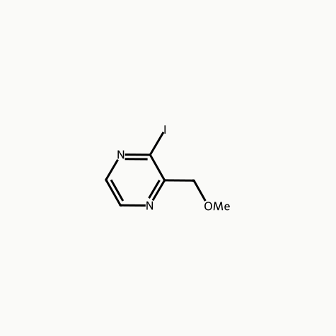 COCc1nccnc1I